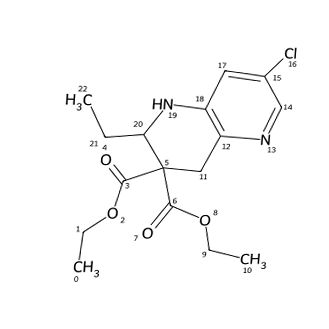 CCOC(=O)C1(C(=O)OCC)Cc2ncc(Cl)cc2NC1CC